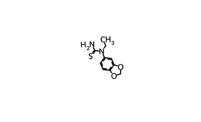 CCN(C(N)=S)c1ccc2c(c1)OCO2